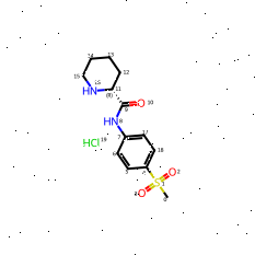 CS(=O)(=O)c1ccc(NC(=O)[C@H]2CCCCN2)cc1.Cl